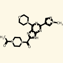 CC(=O)N1CCN(C(=O)c2nc3c(N4CCOCC4)nc(-c4cnn(C)c4)nc3[nH]2)CC1